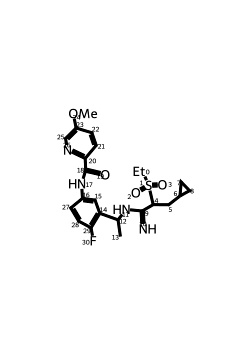 CCS(=O)(=O)C(CC1CC1)C(=N)NC(C)c1cc(NC(=O)c2ccc(OC)cn2)ccc1F